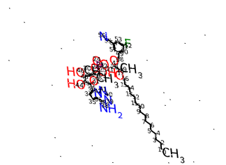 CCCCCCCCCCCCCCCCCO[C@@H](C)[C@H](COP(=O)(O)O[C@@H](C)[C@@]1(C)O[C@@H](c2ccc3c(N)ncnn23)[C@H](O)[C@@H]1O)OCc1cc(F)cc(C#N)c1